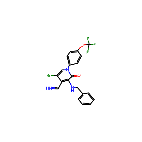 N=Cc1c(Br)cn(-c2ccc(OC(F)(F)F)cc2)c(=O)c1NCc1ccccc1